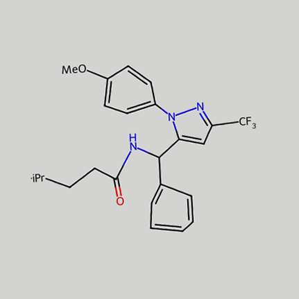 COc1ccc(-n2nc(C(F)(F)F)cc2C(NC(=O)CC[C](C)C)c2ccccc2)cc1